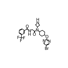 O=C(NCC(=O)N(C1CCC(Oc2ncc(Br)cn2)CC1)C1CNC1)c1cccc(C(F)(F)F)c1